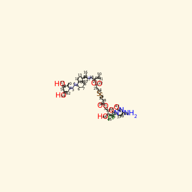 C=C1/C(=C\C=C2/CCC[C@@]3(C)C2CCC3[C@@H](C)/C=C/C(OC(=O)CCSSCCC(=O)OCC2OC(n3ccc(N)nc3=O)C(F)(F)C2O)C2CC2)C[C@@H](O)C[C@@H]1O